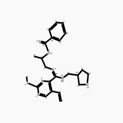 C=Cc1cnc(SC)nc1/C(=N\CC(C)OC(=O)c1ccccc1)NCC1CCOC1